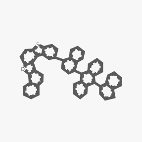 c1ccc2c(-c3c4ccccc4c(-c4ccc(-c5ccc6sc7ccc8oc9c%10ccccc%10ccc9c8c7c6c5)c5ccccc45)c4ccccc34)cccc2c1